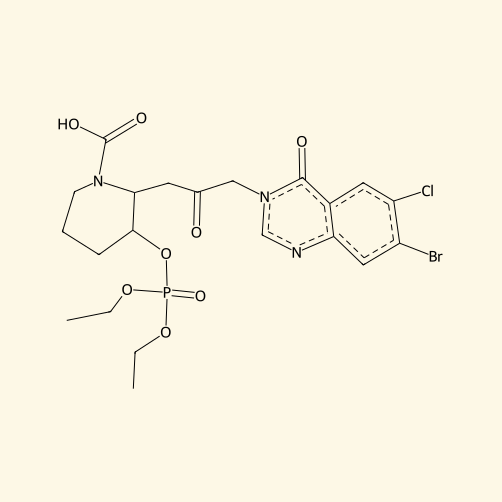 CCOP(=O)(OCC)OC1CCCN(C(=O)O)C1CC(=O)Cn1cnc2cc(Br)c(Cl)cc2c1=O